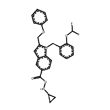 O=C(ONC1CC1)c1ccc2c(c1)cc(COc1ccccc1)n2Cc1ccccc1OC(F)F